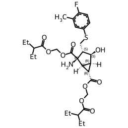 CCC(CC)C(=O)OCOC(=O)[C@H]1[C@@H]2[C@H](O)[C@@H](CSc3ccc(F)c(C)c3)[C@@](N)(C(=O)OCOC(=O)C(CC)CC)[C@H]12